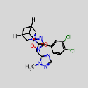 Cn1ncnc1CC(=O)N1C[C@H]2C[C@@H](C1)C2c1nc(-c2ccc(Cl)c(Cl)c2)no1